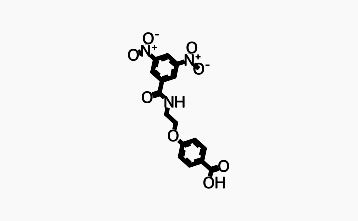 O=C(O)c1ccc(OCCNC(=O)c2cc([N+](=O)[O-])cc([N+](=O)[O-])c2)cc1